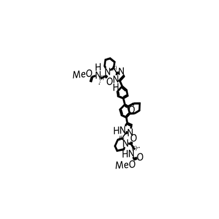 C=C(N[C@@H](C)C(=O)N1CCCC[C@H]1c1ncc(-c2ccc(-c3ccc(-c4cnc([C@@H]5CCCCN5C(=O)[C@H](C)NC(=O)OC)[nH]4)c4c3C3CCC4O3)cc2)[nH]1)OC